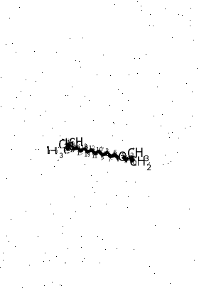 C=C(C)COCCCCCCCCCCCCC[Si](C)(C)Cl